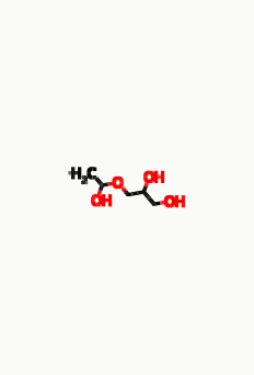 [CH2]C(O)OCC(O)CO